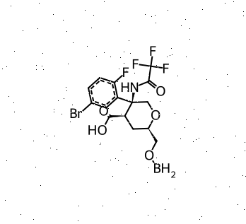 BOC[C@H]1C[C@@H](C(=O)O)[C@](NC(=O)C(F)(F)F)(c2cc(Br)ccc2F)CO1